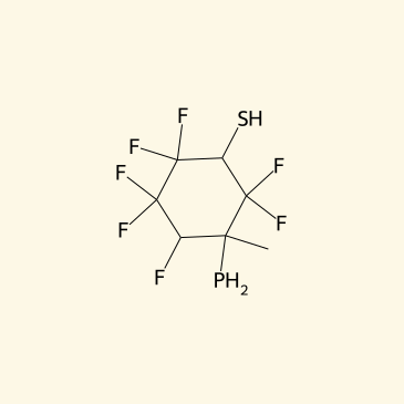 CC1(P)C(F)C(F)(F)C(F)(F)C(S)C1(F)F